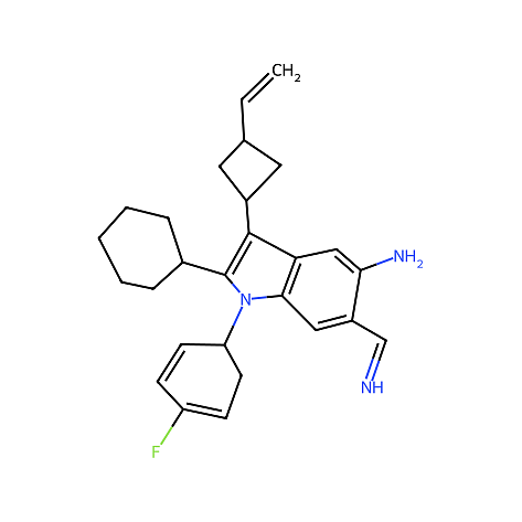 C=CC1CC(c2c(C3CCCCC3)n(C3C=CC(F)=CC3)c3cc(C=N)c(N)cc23)C1